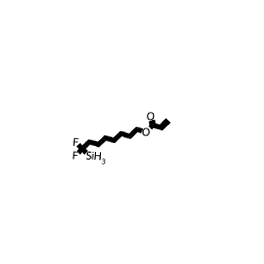 C=CC(=O)OCCCCCCCC(F)(F)[SiH3]